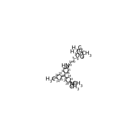 CCC(C)(C)C(=O)OCCCCCNc1ccc(C(c2ccc(C)cc2)c2ccc(N(C)C)cc2)cc1